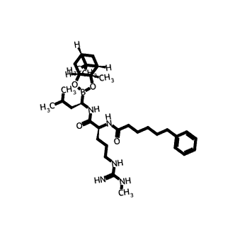 CNC(=N)NCCC[C@H](NC(=O)CCCCCc1ccccc1)C(=O)N[C@@H](CC(C)C)B1O[C@@H]2C[C@@H]3C[C@@H](C3(C)C)[C@]2(C)O1